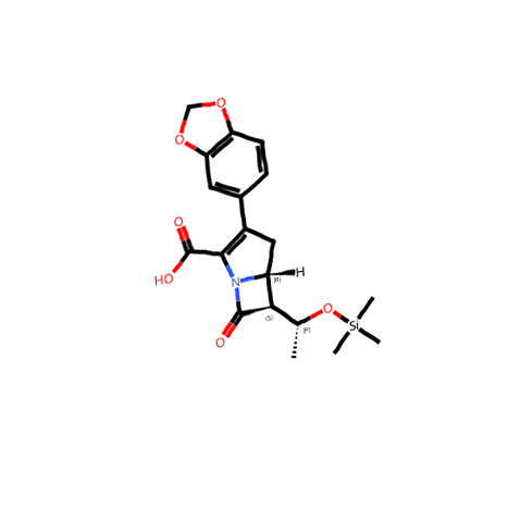 C[C@@H](O[Si](C)(C)C)[C@H]1C(=O)N2C(C(=O)O)=C(c3ccc4c(c3)OCO4)C[C@H]12